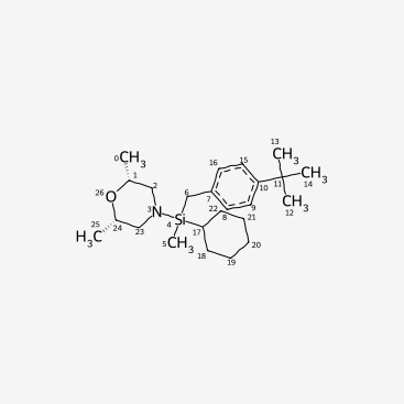 C[C@@H]1CN([Si](C)(Cc2ccc(C(C)(C)C)cc2)C2CCCCC2)C[C@H](C)O1